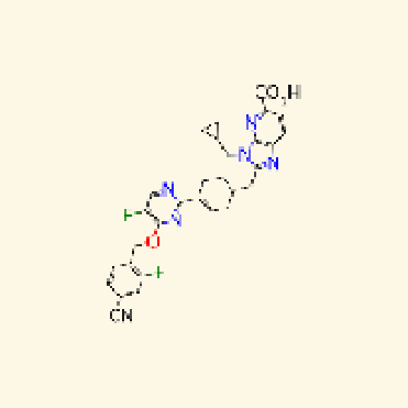 N#Cc1ccc(COc2nc(C3=CCC(Cc4nc5ccc(C(=O)O)nc5n4CC4CC4)CC3)ncc2F)c(F)c1